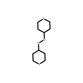 C1CC(OOC2CCSCC2)CCS1